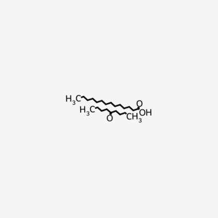 CCCCC(=O)CCCC.CCCCCCCCCCCCCC(=O)O